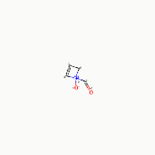 O=C[N+]1([O-])C=CC1